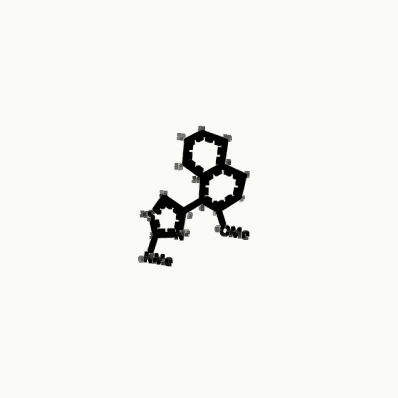 CNc1nc(-c2c(OC)ccc3ccccc23)cs1